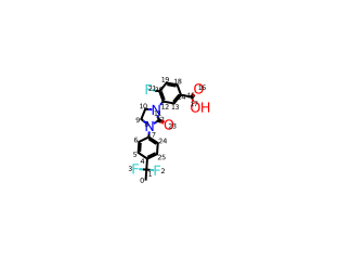 CC(F)(F)c1ccc(N2CCN(c3cc(C(=O)O)ccc3F)C2=O)cc1